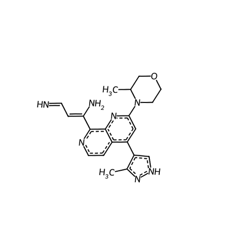 Cc1n[nH]cc1-c1cc(N2CCOCC2C)nc2c(/C(N)=C/C=N)nccc12